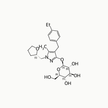 CCc1ccc(Cc2c(O[C@@H]3O[C@H](CO)[C@@H](O)[C@H](O)[C@H]3O)nn(C[C@@H]3CCCO3)c2C)cc1